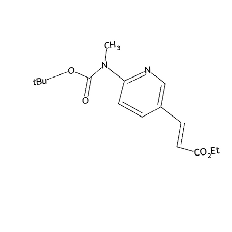 CCOC(=O)/C=C/c1ccc(N(C)C(=O)OC(C)(C)C)nc1